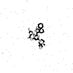 C[C@H](Oc1cc(N2CCN(C)C3(COC3)C2)nc(-c2noc3c2CCC[C@@]32CCCCC2=O)n1)[C@@H]1C[C@@H](F)CN1C